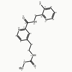 CC(C)(C)OC(=O)NCCc1ccnc(C(=O)NCc2ncccc2F)c1